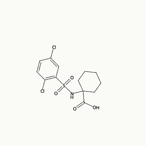 O=C(O)C1(NS(=O)(=O)c2cc(Cl)ccc2Cl)CCCCC1